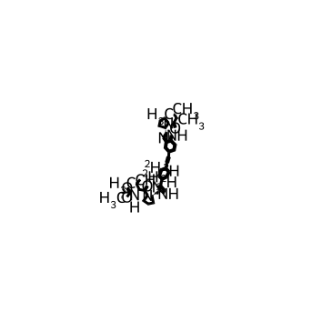 [2H]c1c([2H])c(-c2c[nH]c([C@@H]3CCCN3C(=O)[C@@H](NC(=O)OC)C(C)C)n2)c([2H])c([2H])c1C#Cc1ccc2[nH]c([C@@H]3CCCN3C(=O)[C@@H](C)C(C)C)nc2c1